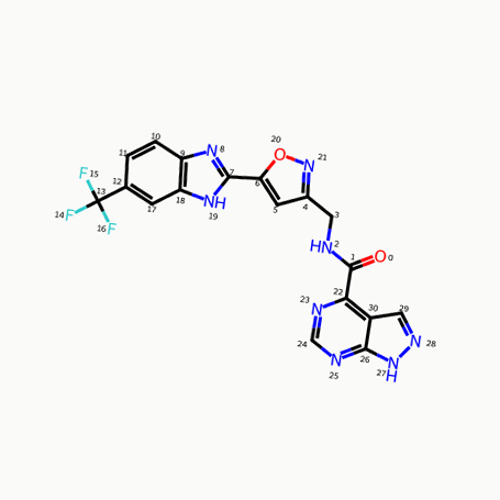 O=C(NCc1cc(-c2nc3ccc(C(F)(F)F)cc3[nH]2)on1)c1ncnc2[nH]ncc12